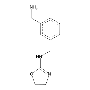 NCc1cccc(CNC2=NCCO2)c1